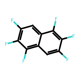 Fc1[c]c2c(F)c(F)c(F)[c]c2c(F)c1F